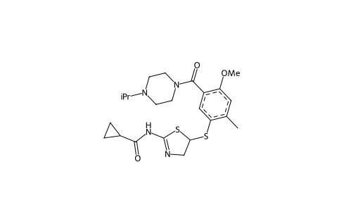 COc1cc(C)c(SC2CN=C(NC(=O)C3CC3)S2)cc1C(=O)N1CCN(C(C)C)CC1